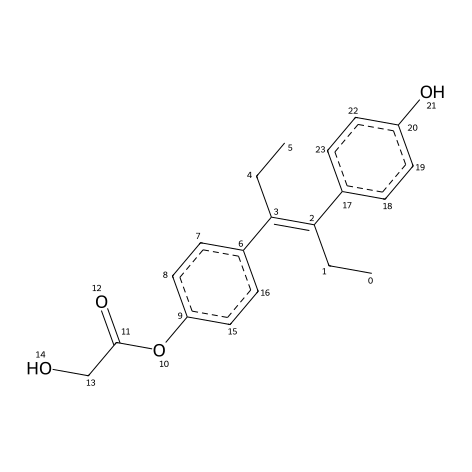 CC/C(=C(/CC)c1ccc(OC(=O)CO)cc1)c1ccc(O)cc1